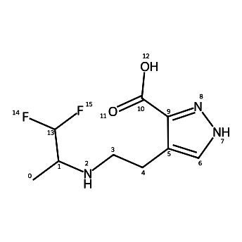 CC(NCCc1c[nH]nc1C(=O)O)C(F)F